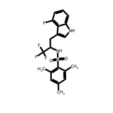 Cc1cc(C)c(S(=O)(=O)NC(Cc2c[nH]c3cccc(F)c23)C(F)(F)F)c(C)c1